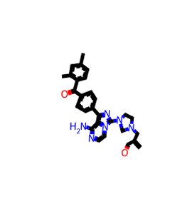 C=C(C=O)CN1CCN(c2nc(-c3ccc(C(=O)c4ccc(C)cc4C)cc3)c3c(N)nccn23)C1